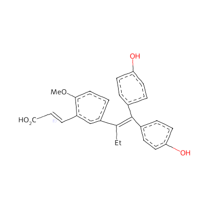 CCC(=C(c1ccc(O)cc1)c1ccc(O)cc1)c1ccc(OC)c(/C=C/C(=O)O)c1